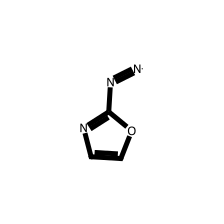 [N]=Nc1ncco1